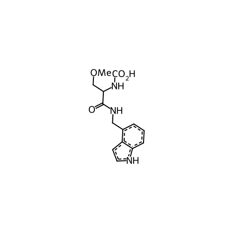 COCC(NC(=O)O)C(=O)NCc1cccc2[nH]ccc12